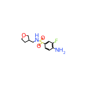 Nc1ccc(S(=O)(=O)NCC2CCOC2)cc1F